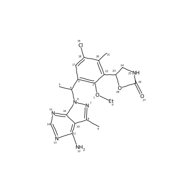 CCOc1c(C(C)n2nc(C)c3c(N)ncnc32)cc(Cl)c(C)c1C1CNC(=O)O1